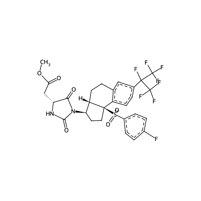 COC(=O)C[C@H]1NC(=O)N([C@@H]2CC[C@@]3(S(=O)(=O)c4ccc(F)cc4)c4ccc(C(F)(C(F)(F)F)C(F)(F)F)cc4CC[C@@H]23)C1=O